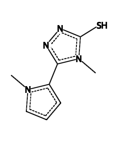 Cn1cccc1-c1nnc(S)n1C